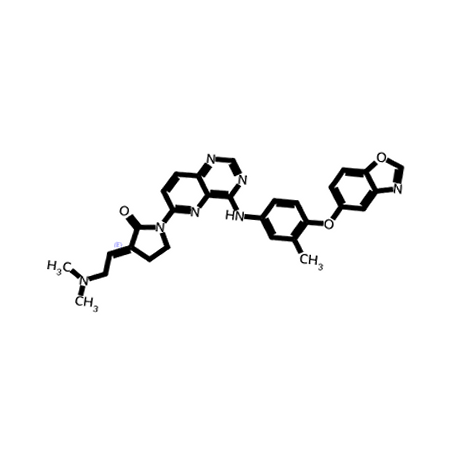 Cc1cc(Nc2ncnc3ccc(N4CC/C(=C\CN(C)C)C4=O)nc23)ccc1Oc1ccc2ocnc2c1